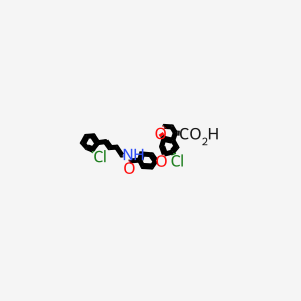 O=C(NCCC=Cc1ccccc1Cl)c1ccc(Oc2cc3c(cc2Cl)C(C(=O)O)CCO3)cc1